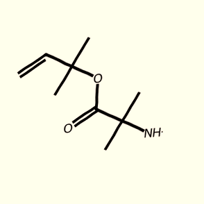 C=CC(C)(C)OC(=O)C(C)(C)[NH]